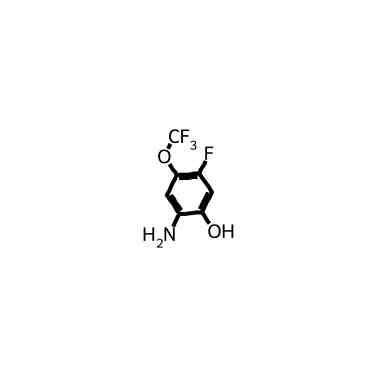 Nc1cc(OC(F)(F)F)c(F)cc1O